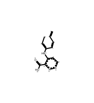 C=C/C=C\C(=C/C)Nc1ccnnc1C(=O)O